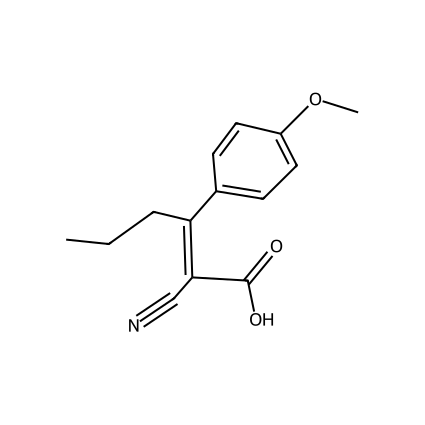 CCCC(=C(C#N)C(=O)O)c1ccc(OC)cc1